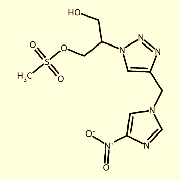 CS(=O)(=O)OCC(CO)n1cc(Cn2cnc([N+](=O)[O-])c2)nn1